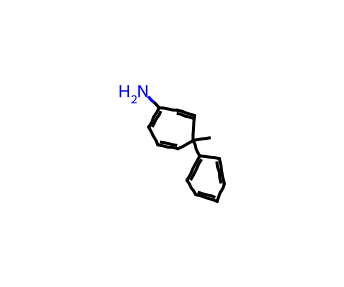 CC1(c2ccccc2)C=CC=C(N)C=C1